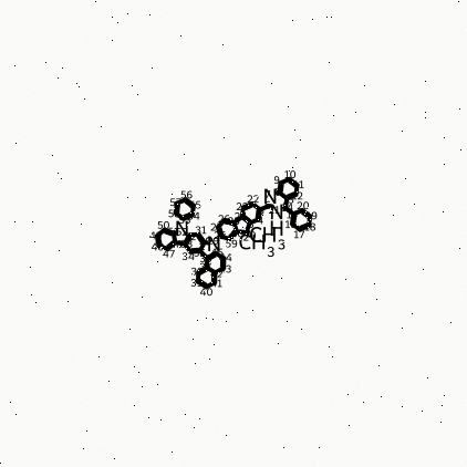 CC1(C)c2cc(C3=Nc4ccccc4C(c4ccccc4)N3)ccc2-c2ccc(-n3c4cc5c(cc4c4c6ccccc6ccc43)c3ccccc3n5-c3ccccc3)cc21